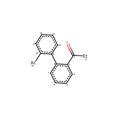 CCC(=O)c1ccccc1-c1ccccc1C(C)=O